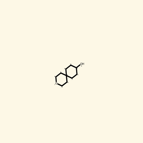 OC1CCC2(CCOCC2)CC1